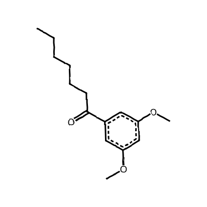 CCCCCCC(=O)c1cc(OC)cc(OC)c1